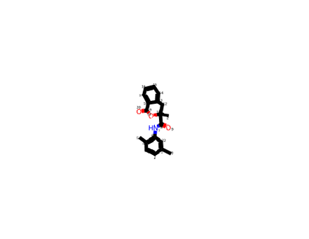 Cc1ccc(C)c(NC(=O)C2(C)Cc3ccccc3C(=O)O2)c1